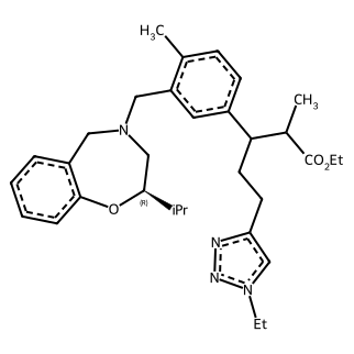 CCOC(=O)C(C)C(CCc1cn(CC)nn1)c1ccc(C)c(CN2Cc3ccccc3O[C@H](C(C)C)C2)c1